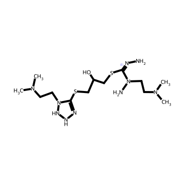 CN(C)CCN1NNN=C1SCC(O)CS/C(=N/N)N(N)CCN(C)C